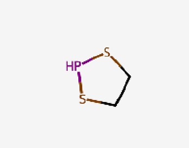 C1CSPS1